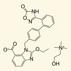 CCOc1nc2cccc(C(=O)[O-])c2n1Cc1ccc(-c2ccccc2-c2noc(=O)[nH]2)cc1.C[N+](C)(C)CCO